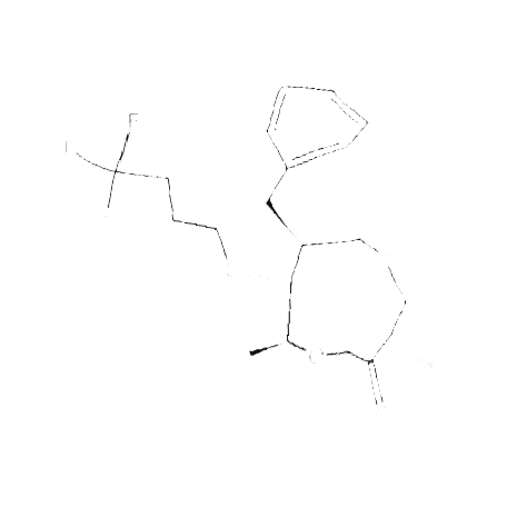 C[C@@H]1OC(=O)[C@@H](C)COC[C@H](Cc2ccccc2)[C@H]1OCCCC(F)(F)F